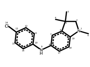 CN1CC(C)(C)c2cc(Nc3ccc(Cl)cc3)ccc21